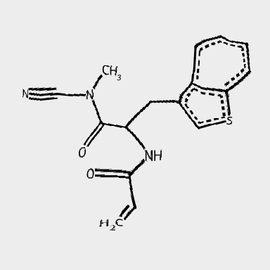 C=CC(=O)NC(Cc1csc2ccccc12)C(=O)N(C)C#N